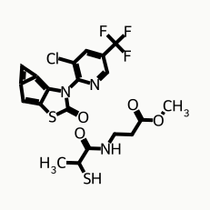 COC(=O)CCNC(=O)C(C)S.O=c1sc2cc3cc-3c2n1-c1ncc(C(F)(F)F)cc1Cl